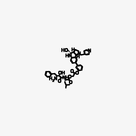 CC(C)C[C@H](NC(=O)[C@@H](O)[C@H](N)Cc1ccccc1)C(=O)OCC(=O)Oc1cccc(-c2ccc3c(c2)[C@H]2[C@H](CCN2Cc2ccncc2)[C@@H](CO)N3)c1